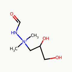 C[N+](C)(CC(O)CO)NC=O